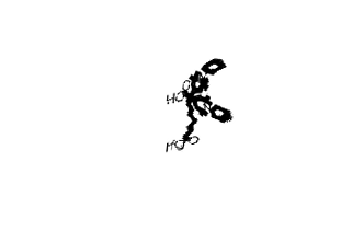 CC1(C)CC(C(CCCCCCCC(=O)O)(C(=O)O)C2CC(C)(C)N(C3CCCCC3)C(C)(C)C2)CC(C)(C)N1C1CCCCC1